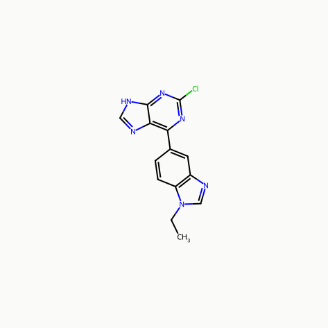 CCn1cnc2cc(-c3nc(Cl)nc4[nH]cnc34)ccc21